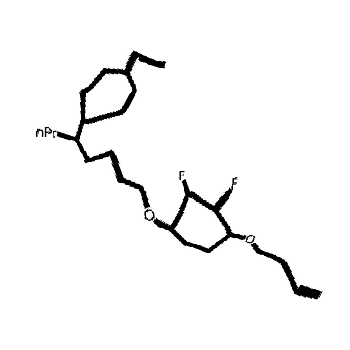 C=CCCOC1CCC(OCCCCC(CCC)C2CCC(C=C)CC2)C(F)C1F